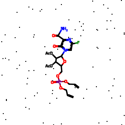 C=CCOP(=O)(OCC=C)OCC1OC(n2cc(F)nc(C(N)=O)c2=O)C(OC(C)=O)C1OC(C)=O